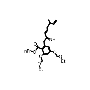 C=CC(C)C/C=C/C(=N)Cc1cc(OCOCC)cc(OCOCC)c1C(=O)OCCC